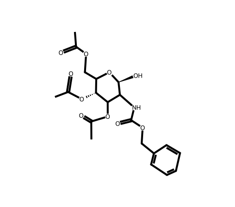 CC(=O)OCC1O[C@@H](O)C(NC(=O)OCc2ccccc2)C(OC(C)=O)[C@@H]1OC(C)=O